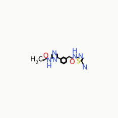 C=CC(=O)Nc1cncc(-c2cccc(CC(=O)Nc3ncc(C#N)s3)c2)n1